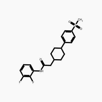 CS(=O)(=O)c1ccc(C2CCC(CC(=O)Nc3cccc(F)c3F)CC2)cc1